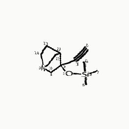 C#CC1(O[Si](C)(C)C)CN2CCC1CC2